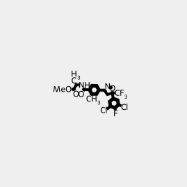 COC(=O)[C@H](C)NC(=O)c1ccc(C2=NOC(c3cc(Cl)c(F)c(Cl)c3)(C(F)(F)F)C2)cc1C